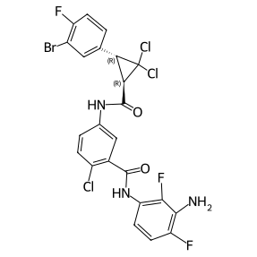 Nc1c(F)ccc(NC(=O)c2cc(NC(=O)[C@H]3[C@H](c4ccc(F)c(Br)c4)C3(Cl)Cl)ccc2Cl)c1F